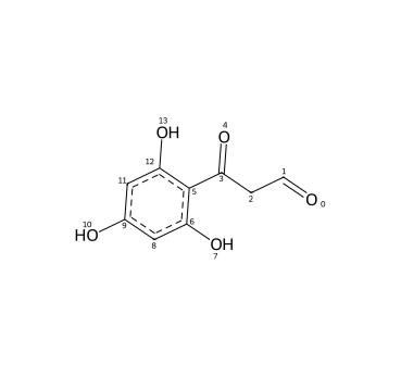 O=CCC(=O)c1c(O)cc(O)cc1O